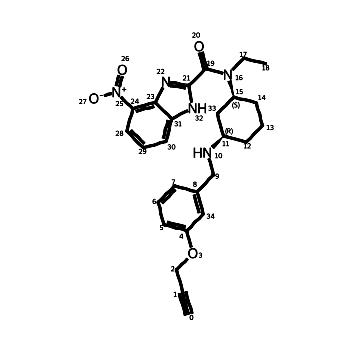 C#CCOc1cccc(CN[C@@H]2CCC[C@H](N(CC)C(=O)c3nc4c([N+](=O)[O-])cccc4[nH]3)C2)c1